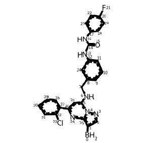 Bc1cnn2c(NCc3cccc(NC(=O)Nc4ccc(F)cc4)c3)cc(-c3ccccc3Cl)nc12